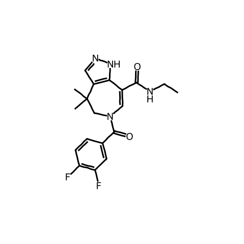 CCNC(=O)C1=CN(C(=O)c2ccc(F)c(F)c2)CC(C)(C)c2cn[nH]c21